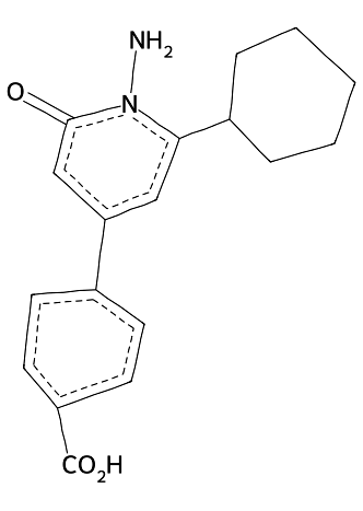 Nn1c(C2CCCCC2)cc(-c2ccc(C(=O)O)cc2)cc1=O